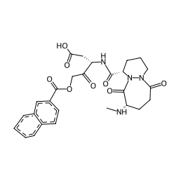 CN[C@H]1CCC(=O)N2CCC[C@@H](C(=O)N[C@@H](CC(=O)O)C(=O)COC(=O)c3ccc4ccccc4c3)N2C1=O